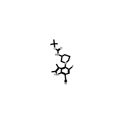 Cc1[nH]c2c(C#N)cc(F)c(N3CCCC(NC(=O)OC(C)(C)C)C3)c2c1C